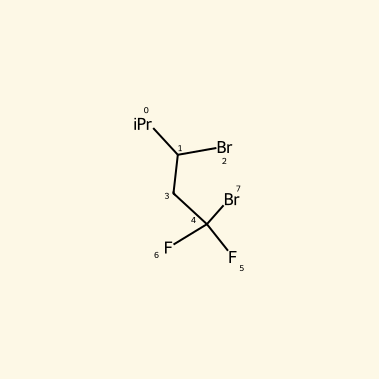 CC(C)C(Br)CC(F)(F)Br